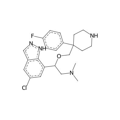 CN(C)CC(OCC1(c2ccc(F)cc2)CCNCC1)c1cc(Cl)cc2cn[nH]c12